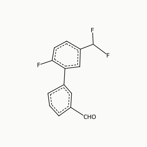 O=Cc1cccc(-c2cc(C(F)F)ccc2F)c1